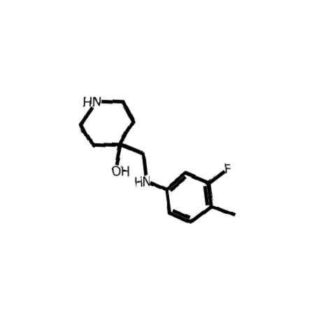 Cc1ccc(NCC2(O)CCNCC2)cc1F